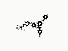 CC(C)(C)OC(=O)N1CCC(Oc2ccc(Oc3c(-c4ccc(Br)cc4)sc4cc(OCc5ccccc5)ccc34)cc2)CC1